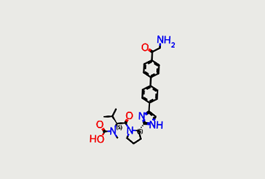 CC(C)[C@@H](C(=O)N1CCC[C@H]1c1nc(-c2ccc(-c3ccc(C(=O)CN)cc3)cc2)c[nH]1)N(C)C(=O)O